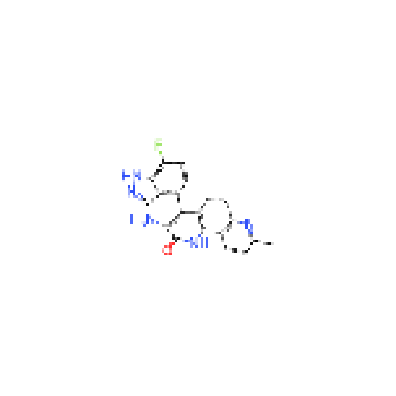 Cc1ccc2c(ccc3c(-c4ccc(F)c5[nH]ncc45)c(N)c(=O)[nH]c32)n1